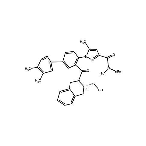 CCCCN(CCCC)C(=O)c1cc(C)n(-c2ccc(-c3ccc(C)c(C)c3)cc2C(=O)N2Cc3ccccc3C[C@H]2CO)n1